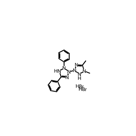 Br.Br.CC1=NN(N2N=C(c3ccccc3)NN2c2ccccc2)NN1C